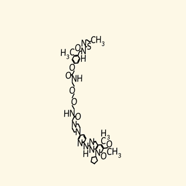 CC(=O)c1c(C)c2cnc(Nc3ccc(N4CCN(CC(=O)NCCOCCOCCNC(=O)COc5ccc(C(=O)NC6=NCC(C)S6)c(C)c5)CC4)cn3)nc2n(C2CCCC2)c1=O